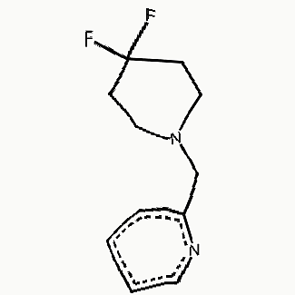 FC1(F)CCN(Cc2ccccn2)CC1